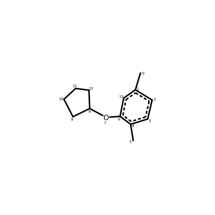 Cc1ccc(C)c(OC2CCCC2)c1